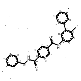 O=C(Nc1ccc(I)c(-c2ccccn2)c1)c1ccc(C(=O)NCc2ccccc2)nc1